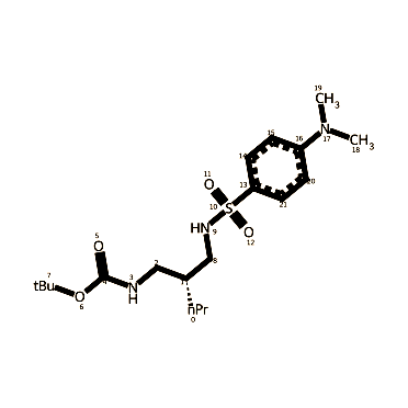 CCC[C@H](CNC(=O)OC(C)(C)C)CNS(=O)(=O)c1ccc(N(C)C)cc1